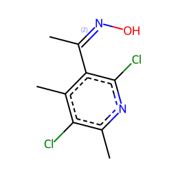 C/C(=N/O)c1c(Cl)nc(C)c(Cl)c1C